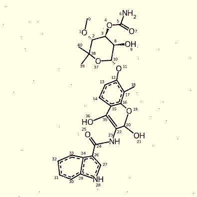 CO[C@@H]1[C@@H](OC(N)=O)[C@@H](O)[C@H](Oc2ccc3c(c2C)OC(O)C(NC(=O)c2c[nH]c4ccccc24)=C3O)OC1(C)C